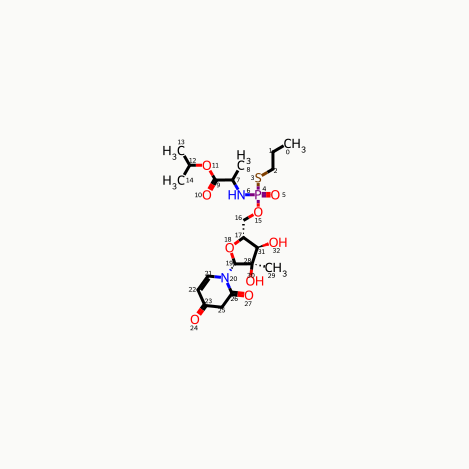 CCCSP(=O)(NC(C)C(=O)OC(C)C)OC[C@H]1O[C@@H](N2C=CC(=O)CC2=O)[C@](C)(O)[C@@H]1O